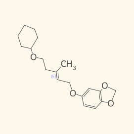 C/C(=C\COc1ccc2c(c1)OCO2)CCOC1CCCCC1